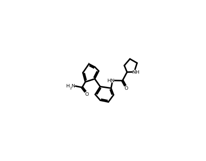 NC(=O)c1c[c]ccc1-c1ccccc1NC(=O)C1CCCN1